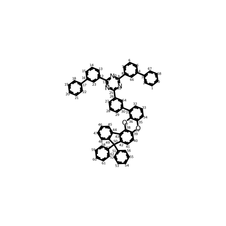 c1ccc(-c2cccc(-c3nc(-c4cccc(-c5ccccc5)c4)nc(-c4cccc(-c5cccc6c5Oc5c(ccc7c5-c5ccccc5C7(c5ccccc5)c5ccccc5)O6)c4)n3)c2)cc1